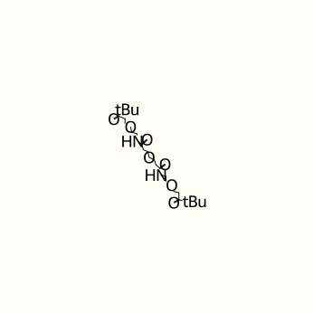 CC(C)(C)C(=O)CCOCCNC(=O)CCOCCC(=O)NCCOCCC(=O)C(C)(C)C